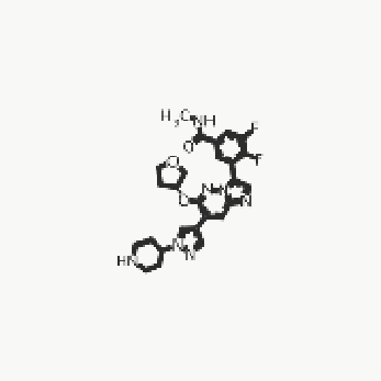 CNC(=O)c1cc(F)c(F)c(-c2cnc3cc(-c4cnn(C5CCNCC5)c4)c(O[C@H]4CCOC4)nn23)c1